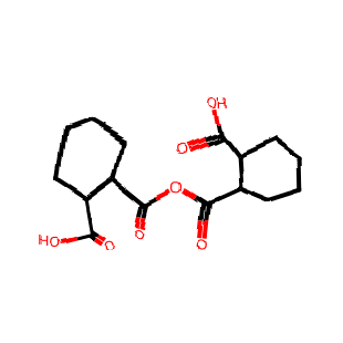 O=C(O)C1CCCCC1C(=O)OC(=O)C1CCCCC1C(=O)O